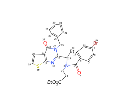 CCOC(=O)CCN(C(=O)c1ccc(Br)cc1)C(CC)c1nc2sccc2c(=O)n1Cc1ccccc1